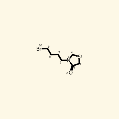 O=C1CSCN1CCCCBr